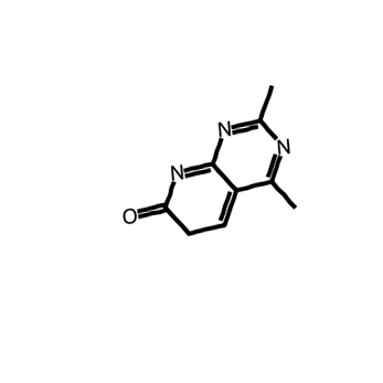 Cc1nc(C)c2c(n1)=NC(=O)CC=2